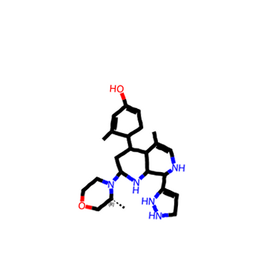 CC1=CC(O)=CCC1C1CC(N2CCOC[C@H]2C)NC2C(C3=CCNN3)NC=C(C)C12